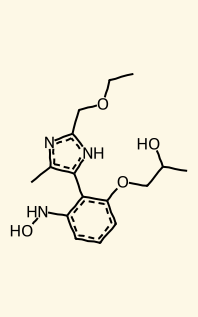 CCOCc1nc(C)c(-c2c(NO)cccc2OCC(C)O)[nH]1